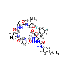 CCc1ccc(NC(=O)N[C@@H](Cc2cc(F)cc(F)c2)C(=O)N[C@@H]2C(=O)N3CCCC3C(=O)N(C)[C@@H](C)C(=O)N[C@@H](C)C(=O)N3C[C@@H](C)CC3C(=O)O[C@H]2C)cc1